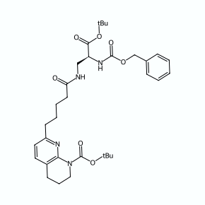 CC(C)(C)OC(=O)[C@H](CNC(=O)CCCCc1ccc2c(n1)N(C(=O)OC(C)(C)C)CCC2)NC(=O)OCc1ccccc1